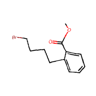 COC(=O)c1ccccc1CCCCBr